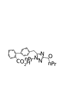 CCCC(=O)c1nc(Cc2ccc(-c3ccccc3C(=O)O)cc2)n(CCC)n1